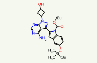 CC(C)(C)OC(=O)n1c(-c2nn(C3CC(O)C3)c3ncnc(N)c23)cc2cc(O[Si](C)(C)C(C)(C)C)ccc21